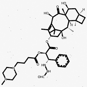 CC1=C2[C@@H](O)C(=O)[C@@]3(C)[C@H]([C@H](C)[C@](O)(C[C@@H]1OC(=O)[C@H](OC(=O)CCCN1CCN(C)CC1)[C@@H](NBC=O)c1ccccc1)C2(C)C)[C@]1(C)CC[C@@H]1C[C@@H]3O